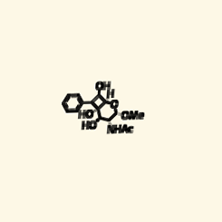 CO[C@H]1O[C@@H]2C(O)C(c3ccccc3)[C@]2(O)[C@H](O)[C@H]1NC(C)=O